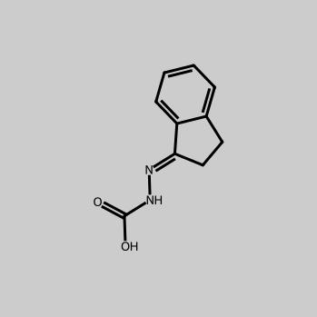 O=C(O)NN=C1CCc2ccccc21